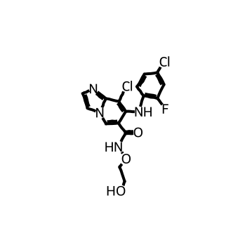 O=C(NOCCO)c1cn2ccnc2c(Cl)c1Nc1ccc(Cl)cc1F